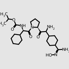 CC(C)OC(=O)N[C@@H](C(=O)N1CCC[C@H]1C(=O)C(N)C1CCC(/C(N)=N\O)CC1)C1CCCCC1